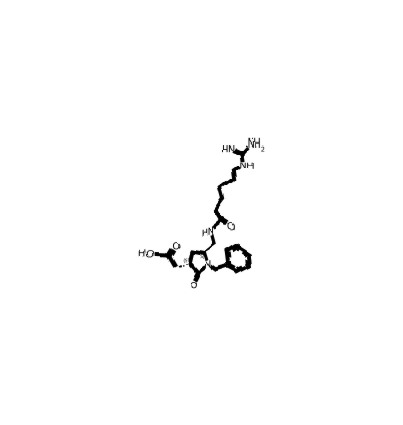 N=C(N)NCCCCCC(=O)NC[C@@H]1C[C@@H](CC(=O)O)C(=O)N1Cc1ccccc1